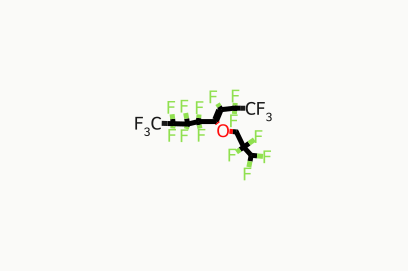 FC(=C(OCC(F)(F)C(F)F)C(F)(F)C(F)(F)C(F)(F)C(F)(F)F)C(F)(F)C(F)(F)F